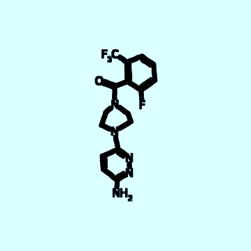 Nc1ccc(N2CCN(C(=O)c3c(F)cccc3C(F)(F)F)CC2)nn1